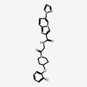 O=C(NCC(=O)N1CCC(Oc2ccccc2Cl)CC1)c1cn2cc(-n3cccn3)ccc2n1